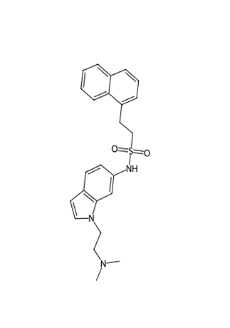 CN(C)CCn1ccc2ccc(NS(=O)(=O)CCc3cccc4ccccc34)cc21